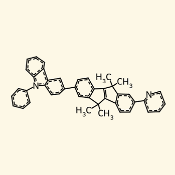 CC1(C)C2=C(c3ccc(-c4ccc5c(c4)c4ccccc4n5-c4ccccc4)cc31)C(C)(C)c1cc(-c3ccccn3)ccc12